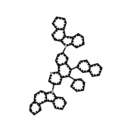 c1ccc(-c2c(-c3ccc4ccccc4c3)c3cc(-n4c5ccccc5c5c6ccccc6ccc54)ccc3c3ncc(-n4c5ccccc5c5c6ccccc6ccc54)cc23)cc1